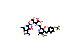 Cc1nc(C(=O)NC(C(=O)O)C(NC(=O)c2nc(C)c3onc(-c4ccc(OC(F)(F)F)cc4)c3c2O)C(=O)O)c(O)c2c(C)noc12